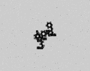 CNCC(CC1CCCCC1)NC(=O)N1CCCC(C(O)(CCCCOC)c2cc(F)ccc2C)C1